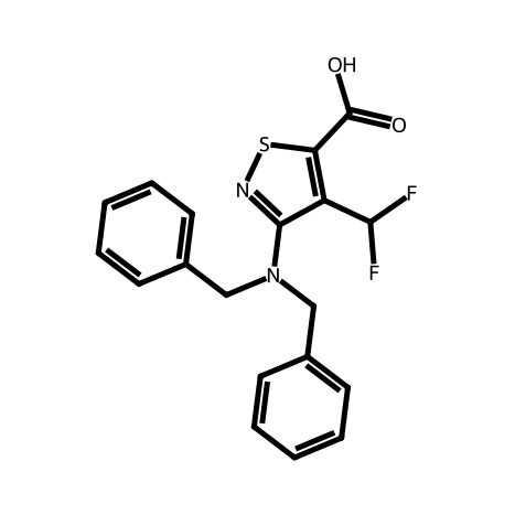 O=C(O)c1snc(N(Cc2ccccc2)Cc2ccccc2)c1C(F)F